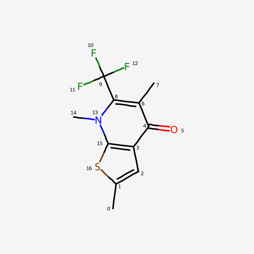 Cc1cc2c(=O)c(C)c(C(F)(F)F)n(C)c2s1